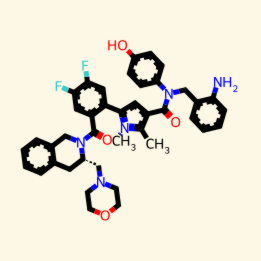 Cc1c(C(=O)N(Cc2ccccc2N)c2ccc(O)cc2)cc(-c2cc(F)c(F)cc2C(=O)N2Cc3ccccc3C[C@H]2CN2CCOCC2)n1C